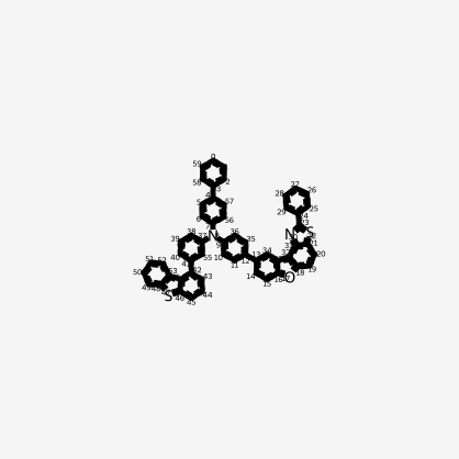 c1ccc(-c2ccc(N(c3ccc(-c4ccc5oc6ccc7sc(-c8ccccc8)nc7c6c5c4)cc3)c3cccc(-c4cccc5sc6ccccc6c45)c3)cc2)cc1